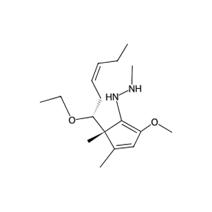 CC/C=C\C[C@@H](OCC)[C@@]1(C)C(C)=CC(OC)=C1NNC